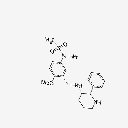 COc1ccc(N(C(C)C)S(C)(=O)=O)cc1CN[C@H]1CCCN[C@H]1c1ccccc1